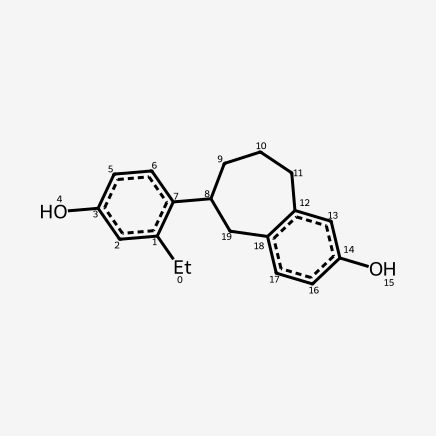 CCc1cc(O)ccc1C1CCCc2cc(O)ccc2C1